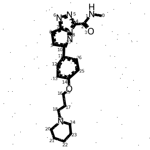 CNC(=O)c1nnc2ccc(-c3ccc(OCCCN4CCCCC4)cc3)nn12